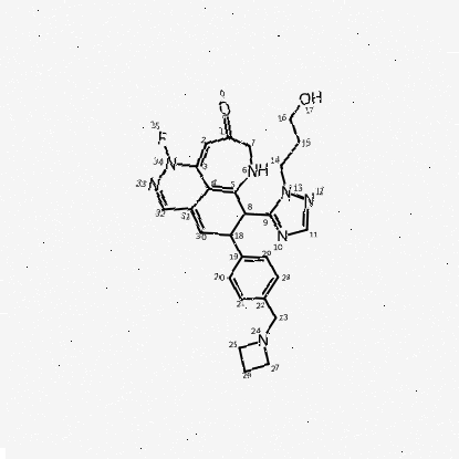 O=C1C=C2C3=C(NC1)C(c1ncnn1CCCO)C(c1ccc(CN4CCC4)cc1)C=C3C=NN2F